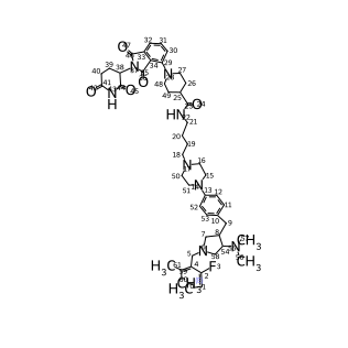 C/C=C(/F)C(CN1CC(Cc2ccc(N3CCN(CCCCNC(=O)C4CCN(c5cccc6c5C(=O)N(C5CCC(=O)NC5=O)C6=O)CC4)CC3)cc2)C(N(C)C)C1)=C(C)C